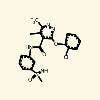 Cc1c(C(F)(F)F)nnc(Oc2ccccc2Cl)c1C(=O)Nc1cccc(S(C)(=N)=O)c1